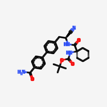 CC(C)(C)OC(=O)NC1(C(=O)N[C@H](C#N)Cc2ccc(-c3ccc(C(N)=O)cc3)cc2)CCCCC1